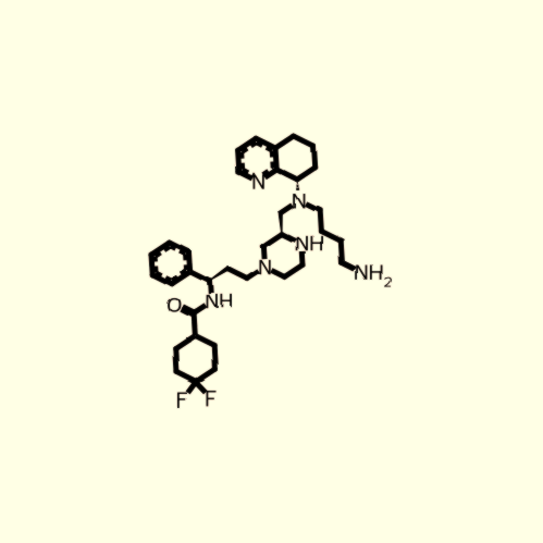 NCCCCN(C[C@@H]1CN(CC[C@@H](NC(=O)C2CCC(F)(F)CC2)c2ccccc2)CCN1)[C@H]1CCCc2cccnc21